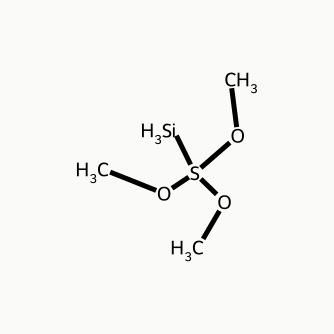 COS([SiH3])(OC)OC